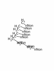 CCCCCCCCCC.CCCCCCCCCC.CCCCCCCCCC.CCCCCCCCCC.CCCCCCCCCC.CCCCCCCCCC.CCCCCCCCCC.CCCCCCCCCC